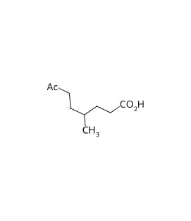 CC(=O)CCC(C)CCC(=O)O